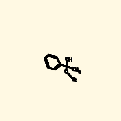 CCOC(C)(O)c1ccccc1